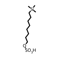 C[Si](C)(C)CCCCCCCCOS(=O)(=O)O